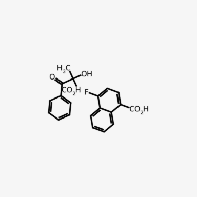 CC(O)(C(=O)O)C(=O)c1ccccc1.O=C(O)c1ccc(F)c2ccccc12